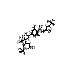 C/C(Cl)=C\C(=C/CC(C)(C)F)C1(C(F)(F)F)CC(c2cc(C)c(C(=O)NC3CC(C(F)(F)F)=NO3)c(C)c2)=NO1